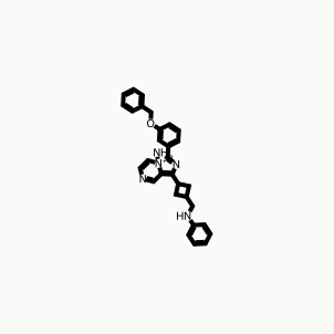 N[N+]12C=CN=CC1=C(C1CC(CNc3ccccc3)C1)N=C2c1cccc(OCc2ccccc2)c1